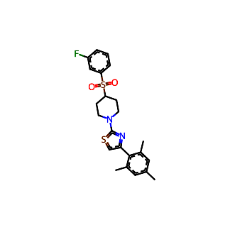 Cc1cc(C)c(-c2csc(N3CCC(S(=O)(=O)c4cccc(F)c4)CC3)n2)c(C)c1